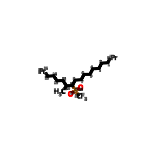 CC(C)CCCCCCCCC(C(C)CCCCC(C)C)S(=O)(=O)C(F)(F)F